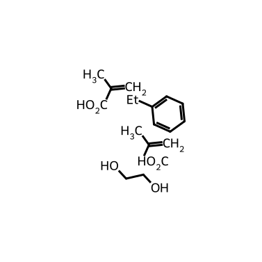 C=C(C)C(=O)O.C=C(C)C(=O)O.CCc1ccccc1.OCCO